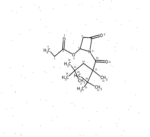 CCC(=O)OC1CC(=O)N1C(=O)C(C)(CC(C)(C)C)C(C)(C)C